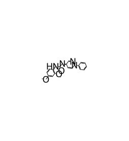 COc1ccc(NC(=O)/N=c2\ccn(-c3ccccc3)nc2)c(OC)c1